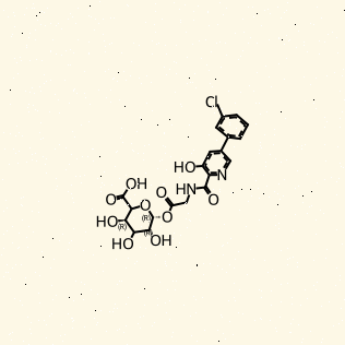 O=C(CNC(=O)c1ncc(-c2cccc(Cl)c2)cc1O)O[C@H]1OC(C(=O)O)[C@H](O)C(O)[C@H]1O